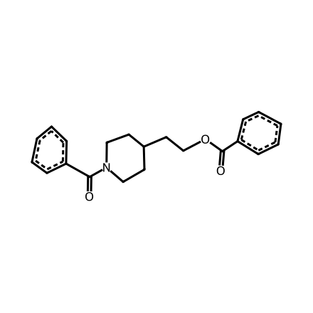 O=C(OCCC1CCN(C(=O)c2ccccc2)CC1)c1ccccc1